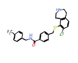 O=C(NCc1ccc(C(F)(F)F)cc1)c1ccc(CSc2c(Cl)ccc3c2CCNCC3)cc1